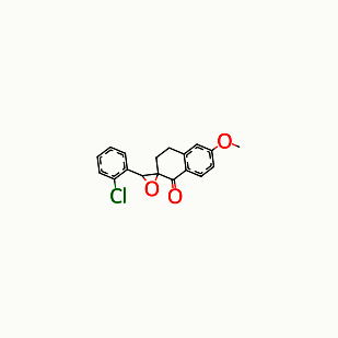 COc1ccc2c(c1)CCC1(OC1c1ccccc1Cl)C2=O